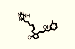 Cc1cccc(CC(O)C=CC2CCC(=O)C2C/C=C\CCCc2nnn[nH]2)c1